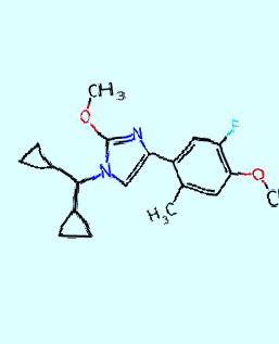 COc1cc(C)c(-c2cn(C(C3CC3)C3CC3)c(OC)n2)cc1F